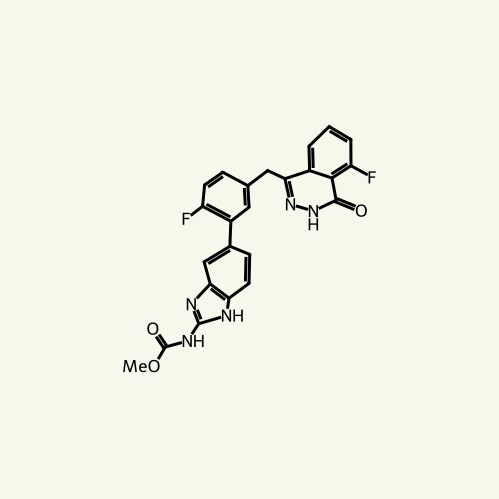 COC(=O)Nc1nc2cc(-c3cc(Cc4n[nH]c(=O)c5c(F)cccc45)ccc3F)ccc2[nH]1